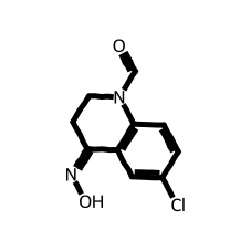 O=CN1CC/C(=N/O)c2cc(Cl)ccc21